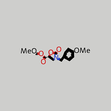 COCOC(=O)[C@H]1CN(Cc2ccc(OC)cc2)C(=O)O1